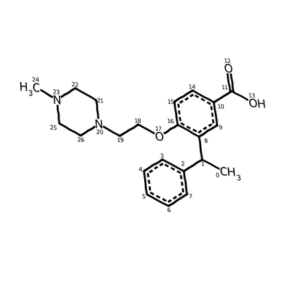 CC(c1ccccc1)c1cc(C(=O)O)ccc1OCCN1CCN(C)CC1